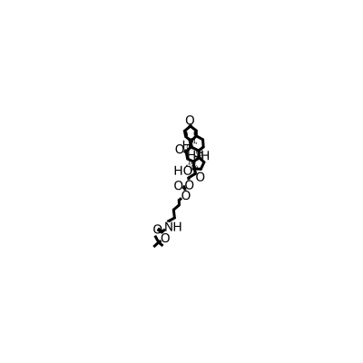 CC(C)(C)OC(=O)NCCCCCOC(=O)OCC(=O)[C@@]1(O)CC[C@H]2[C@@H]3CCC4=CC(=O)C=C[C@]4(C)[C@H]3C(=O)C[C@@]21C